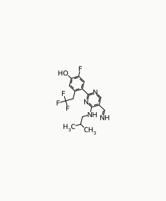 CC(C)CNc1nc(-c2cc(F)c(O)cc2CC(F)(F)F)ncc1C=N